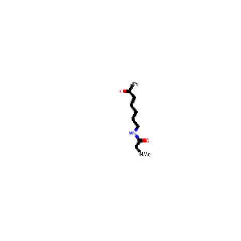 CNCC(=O)NCCCCCC(=O)C(C)C